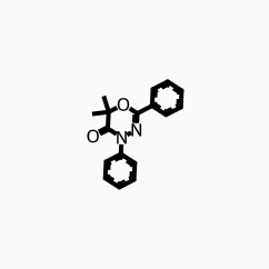 CC1(C)OC(c2ccccc2)=NN(c2ccccc2)C1=O